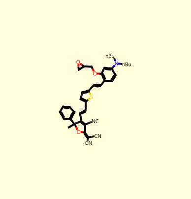 [C-]#[N+]C1=C(/C=C/c2ccc(/C=C/c3ccc(N(CCCC)CCCC)cc3OCC3CO3)s2)C(C)(c2ccccc2)OC1=C(C#N)C#N